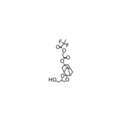 CC(F)(F)C(=O)OCC(=O)OC12CC3CC(C1)C1(OCC(CO)O1)C(C3)C2